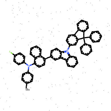 CC(C)(C)c1ccc(N(c2ccc(F)cc2)c2ccc(-c3ccc4c(c3)c3ccccc3n4-c3ccc4c(c3)C(c3ccccc3)(c3ccccc3)c3ccccc3-4)c3ccccc23)cc1